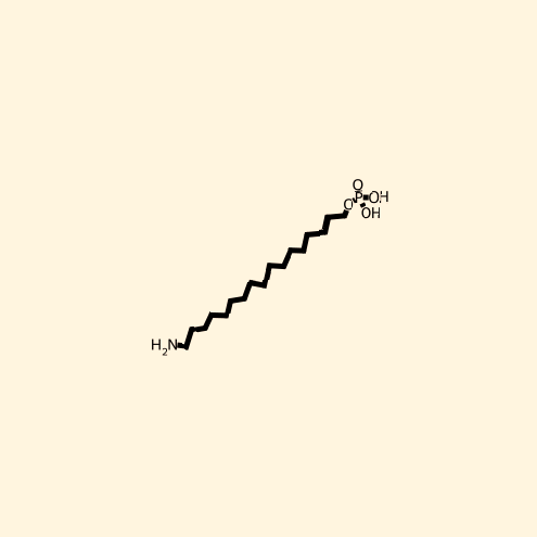 NCCCCCCCCCCCCCCCCCOP(=O)(O)O